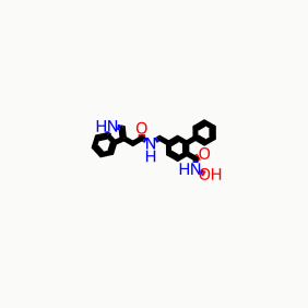 O=C(Cc1c[nH]c2ccccc12)NCc1ccc(C(=O)NO)c(-c2ccccc2)c1